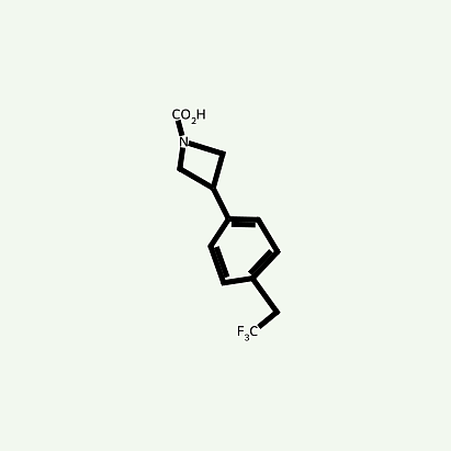 O=C(O)N1CC(c2ccc(CC(F)(F)F)cc2)C1